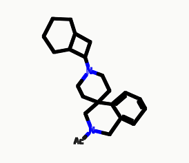 CC(=O)N1Cc2ccccc2C2(CCN(C3CC4CCCCC43)CC2)C1